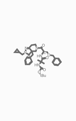 CC(C)(C)OC(=O)NC(C)(C)C(=O)N[C@H](COCc1ccccc1)C(=O)N1CCC2=NN(CC3CC3)C(=O)C2(Cc2ccccc2)C1